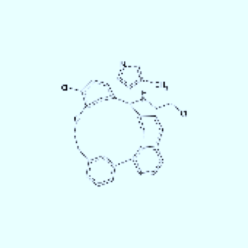 Cn1cncc1C1(NCCCl)c2ccc(Cl)c(c2)OCCc2cccc(c2)-c2nccc3ccc1cc23